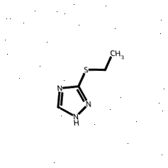 CCSc1nc[nH]n1